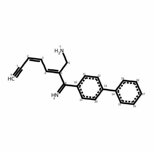 C#C/C=C\C=C(/CN)C(=N)c1ccc(-c2ccccc2)cc1